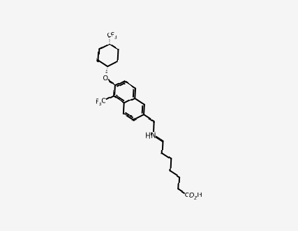 O=C(O)CCCCCCNCc1ccc2c(C(F)(F)F)c(O[C@H]3CC[C@@H](C(F)(F)F)CC3)ccc2c1